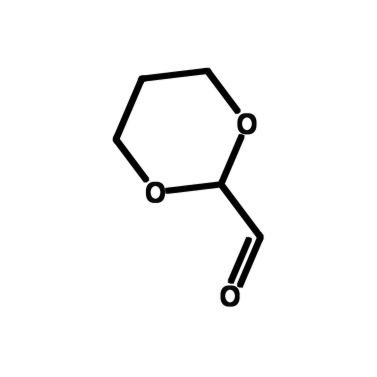 O=CC1OCCCO1